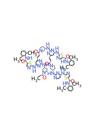 C=CC(=O)N1CC[C@H](Nc2nc(/C=C/C(=O)N3CC[C@@H](Nc4nc(/C=C/C(=O)N5CC[C@H](Nc6nccc(Nc7ncc(C(=O)Nc8c(C)cccc8C)s7)n6)C5)cc(Nc5ncc(C(=O)Nc6c(C)cccc6C)s5)n4)C3)cc(Nc3ncc(C(=O)Nc4c(C)cccc4C)s3)n2)C1